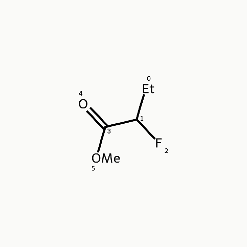 [CH2]CC(F)C(=O)OC